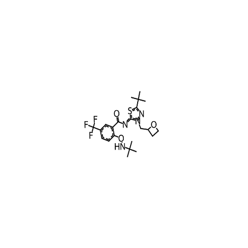 CC(C)(C)NOc1ccc(C(F)(F)F)cc1C(=O)/N=c1\sc(C(C)(C)C)nn1CC1CCO1